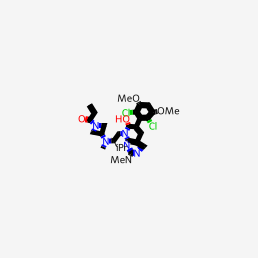 C=CC(=O)N1CC(N(C)[C@H](CN2c3nc(NC)ncc3C=C(c3c(Cl)c(OC)cc(OC)c3Cl)C2O)C(C)C)C1